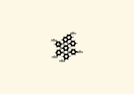 CCCCc1ccc(N2c3ccc(CCCC)cc3B3c4cc(CCCC)ccc4N(c4ccc(CCCC)cc4)c4cc(N(c5ccccc5)c5c(CCCC)ccc6cc(CCCC)ccc56)cc2c43)cc1